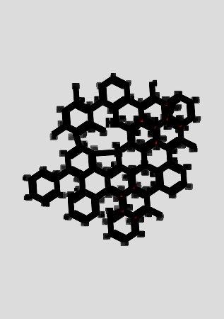 Cc1cc(C)c(-c2cccc(-c3c(C)cc(C)cc3C)c2Bc2cc(-c3ccccc3)cc3c2-n2c4c(C)cc(-c5ccccc5)c5c6ccccc6c6c(-c7ccccc7)cc(c2c6c54)B3c2c(-c3c(C)cc(C)cc3C)cccc2-c2c(C)cc(C)cc2C)c(C)c1